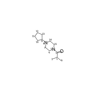 CC(C)C(=O)N1CCN(C2CCCC2)CC1